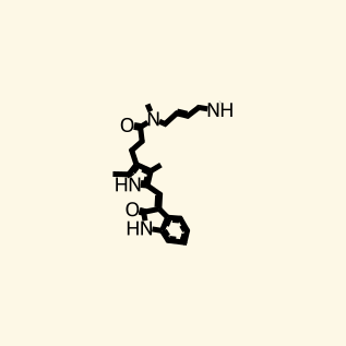 CNCC=CCN(C)C(=O)CCc1c(C)[nH]c(C=C2C(=O)Nc3ccccc32)c1C